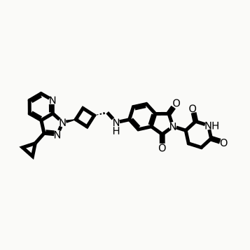 O=C1CCC(N2C(=O)c3ccc(NC[C@H]4C[C@H](n5nc(C6CC6)c6cccnc65)C4)cc3C2=O)C(=O)N1